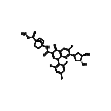 COC(=O)C12CCC(NC(=O)c3cn(-c4c(F)cc(F)cc4F)c4nc(N5C[C@@H](O)[C@H](O)C5)c(F)cc4c3=O)(CC1)C2